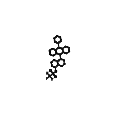 O=S(=O)(Oc1cccc2c(-c3c4ccccc4c(-c4ccccc4)c4ccccc34)cccc12)C(F)(F)F